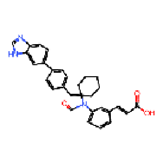 O=CN(c1cccc(/C=C/C(=O)O)c1)C1(Cc2ccc(-c3ccc4nc[nH]c4c3)cc2)CCCCC1